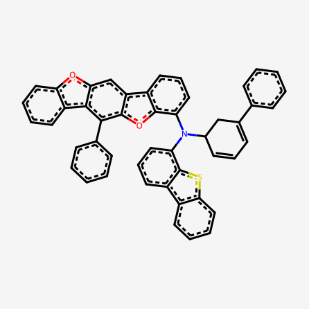 C1=CC(N(c2cccc3c2oc2c(-c4ccccc4)c4c(cc23)oc2ccccc24)c2cccc3c2sc2ccccc23)CC(c2ccccc2)=C1